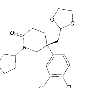 O=C1CC[C@](CC2OCCO2)(c2ccc(Cl)c(Cl)c2)CN1C1CCCC1